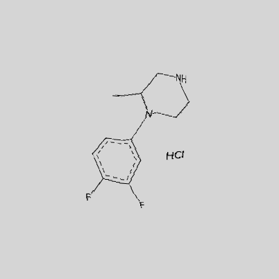 CC1CNCCN1c1ccc(F)c(F)c1.Cl